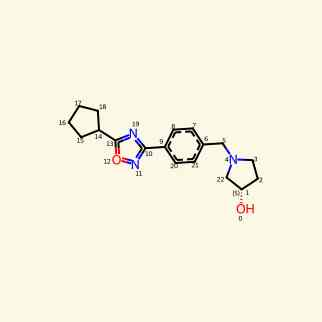 O[C@H]1CCN(Cc2ccc(-c3noc(C4CCCC4)n3)cc2)C1